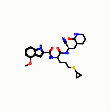 COc1cccc2[nH]c(C(=O)NC(CCCSC3CC3)C(=O)N[C@H](C#N)C[C@@H]3CCCNC3=O)cc12